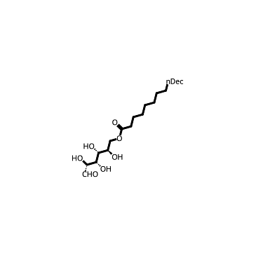 CCCCCCCCCCCCCCCCCC(=O)OC[C@@H](O)[C@@H](O)[C@H](O)[C@@H](O)C=O